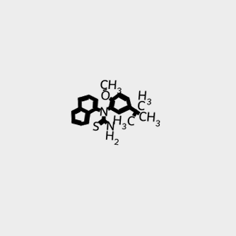 COc1ccc(C(C)(C)C)cc1N(C(N)=S)c1cccc2ccccc12